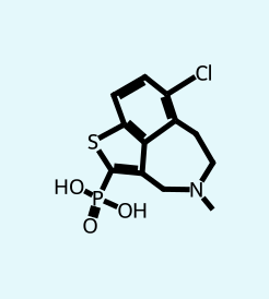 CN1CCc2c(Cl)ccc3sc(P(=O)(O)O)c(c23)C1